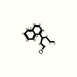 CCCC(CC[O])c1cccc2ccccc12